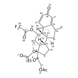 CCC(=O)O[C@]1(C(=O)COC(C)=O)CC[C@H]2[C@@H]3CC(C)C4=CC(=O)C=C[C@]4(C)[C@H]3C(OC(=O)C(F)(F)F)C[C@@]21C